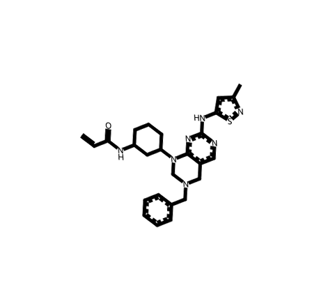 C=CC(=O)NC1CCCC(N2CN(Cc3ccccc3)Cc3cnc(Nc4cc(C)ns4)nc32)C1